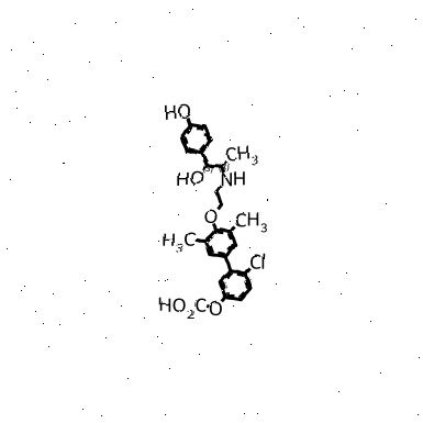 Cc1cc(-c2cc(OC(=O)O)ccc2Cl)cc(C)c1OCCN[C@H](C)[C@@H](O)c1ccc(O)cc1